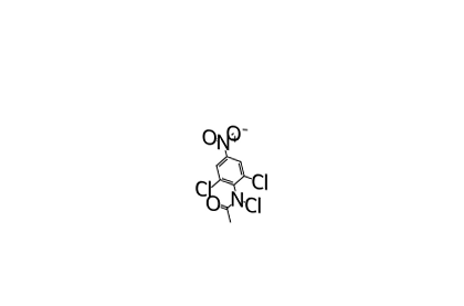 CC(=O)N(Cl)c1c(Cl)cc([N+](=O)[O-])cc1Cl